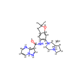 CC1(C)Cc2cc(NC(=O)c3cnn4cccnc34)c(N3CCN4CCC[C@@H]4C3)cc2O1